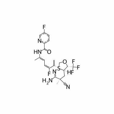 C=C(/C(F)=C\C=C(/C)NC(=O)c1ccc(F)cn1)[S@]12CO[C@H](C(F)(F)F)[C@H]1C[C@@](C)(C#N)C(N)=N2